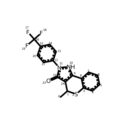 CC1Sc2ccccc2-c2[nH]n(-c3ccc(C(F)(F)F)cc3)c(=O)c21